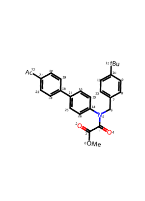 COC(=O)C(=O)N(Cc1ccc(C(C)(C)C)cc1)c1ccc(-c2ccc(C(C)=O)cc2)cc1